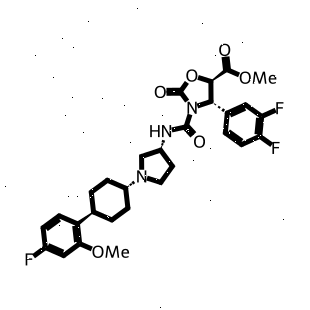 COC(=O)[C@@H]1OC(=O)N(C(=O)N[C@@H]2CCN([C@H]3CC[C@H](c4ccc(F)cc4OC)CC3)C2)[C@H]1c1ccc(F)c(F)c1